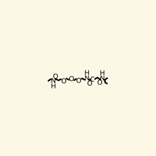 CCNC(=O)CCOCCOCCOCCNC(=O)CCCC(=O)NC(C)CC